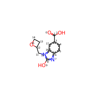 O=C(O)c1ccc2nc(O)n(CC3CCO3)c2c1